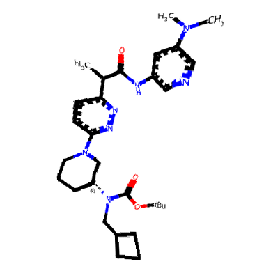 CC(C(=O)Nc1cncc(N(C)C)c1)c1ccc(N2CCC[C@@H](N(CC3CCC3)C(=O)OC(C)(C)C)C2)nn1